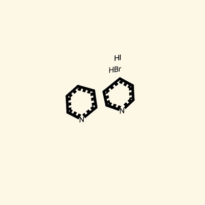 Br.I.c1ccncc1.c1ccncc1